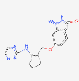 O=c1[nH][nH]c2cc(OCC3CCCC3Nc3nccnn3)ccc12